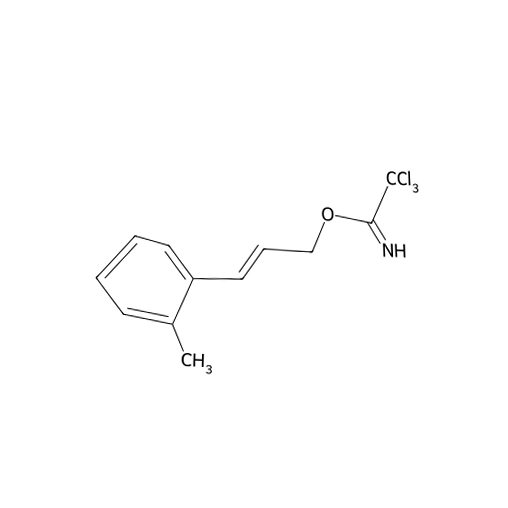 Cc1ccccc1C=CCOC(=N)C(Cl)(Cl)Cl